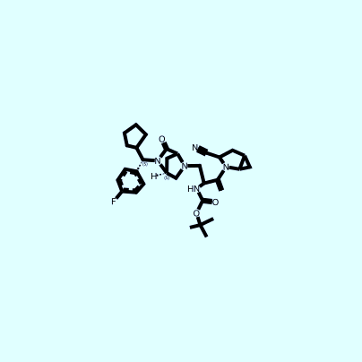 C=C(C(CN1C[C@@H]2CC1C(=O)N2[C@H](c1ccc(F)cc1)C1CCCC1)NC(=O)OC(C)(C)C)N1C(C#N)CC2CC21